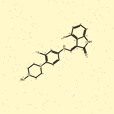 CCC(C)N1CCN(c2ccc(N/C=C3/C(=O)Nc4cccc(F)c43)cc2F)CC1